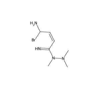 CN(C)N(C)C(=N)/C=C\C(N)Br